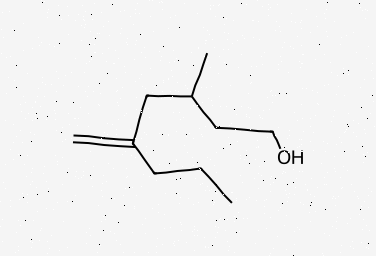 C=C(CCC)CC(C)CCO